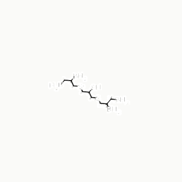 BCC(B)CSCC(S)CSCC(B)CB